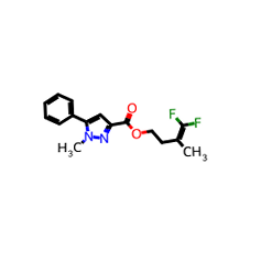 CC(CCOC(=O)c1cc(-c2ccccc2)n(C)n1)=C(F)F